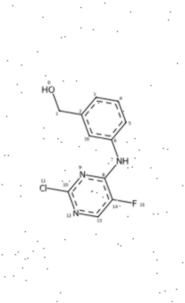 OCc1cccc(Nc2nc(Cl)ncc2F)c1